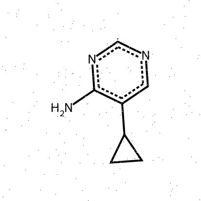 Nc1n[c]ncc1C1CC1